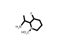 CC(N)C1C(F)CCCN1C(=O)O